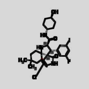 CC1(C)CCC2(CC1)N[C@@H](C(=O)N[C@H]1CC[C@H](O)CC1)[C@H](c1cc(F)cc(I)c1)[C@]21C(=O)Nc2cc(Cl)ccc21